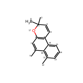 BC1(C)C=Cc2c(cc(C)c3c(C)cccc23)O1